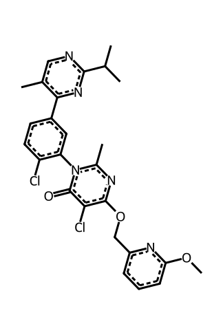 COc1cccc(COc2nc(C)n(-c3cc(-c4nc(C(C)C)ncc4C)ccc3Cl)c(=O)c2Cl)n1